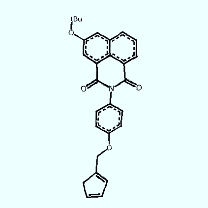 CC(C)(C)Oc1cc2c3c(cccc3c1)C(=O)N(c1ccc(OCC3=CC=CC3)cc1)C2=O